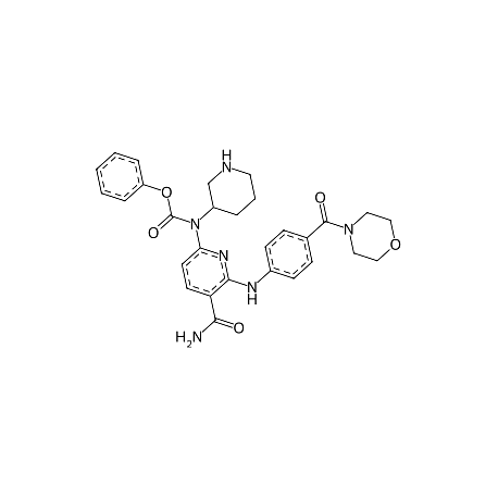 NC(=O)c1ccc(N(C(=O)Oc2ccccc2)C2CCCNC2)nc1Nc1ccc(C(=O)N2CCOCC2)cc1